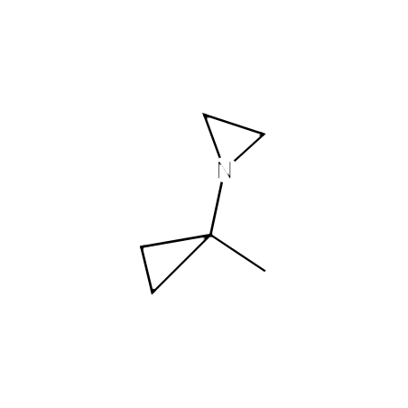 CC1(N2CC2)CC1